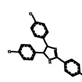 Clc1ccc(C2N=C(c3ccc(Br)cc3)NC2c2ccc(Cl)cc2)cc1